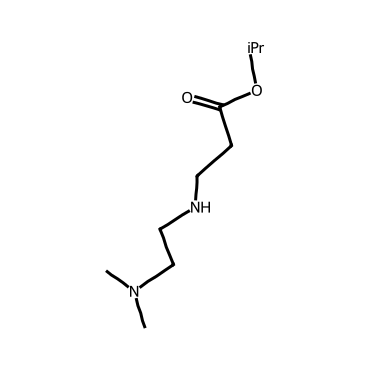 CC(C)OC(=O)CCNCCN(C)C